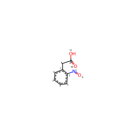 O=Nc1ccccc1CC(=O)O